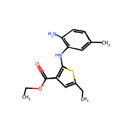 CCOC(=O)c1cc(CC)sc1Nc1cc(C)ccc1N